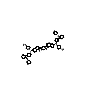 CC(C)c1ccc(N(c2ccc3c(ccc4c5cc6c(cc5oc34)oc3c4ccc(N(c5ccc(C(C)C)cc5)c5ccc7c(c5)c5ccccc5n7-c5ccccc5)cc4ccc63)c2)c2ccc3c(c2)c2ccccc2n3-c2ccccc2)cc1